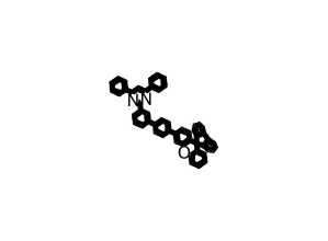 c1ccc(-c2cc(-c3ccccc3)nc(-c3cccc(-c4ccc(-c5ccc6c(c5)Oc5ccccc5C65c6ccccc6-c6ccccc65)cc4)c3)n2)cc1